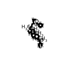 C[C@H](CCC(OC(=O)c1ccccc1)C1CC1)[C@H]1CC[C@H]2[C@@H]3CC[C@H]4C[C@@](C)(OC(=O)c5ccccc5)CC[C@]4(C)C3CC[C@]12C